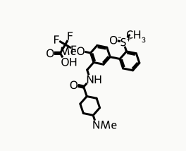 CNC1CCC(C(=O)NCc2cc(-c3ccccc3[S+](C)[O-])ccc2OC)CC1.O=C(O)C(F)(F)F